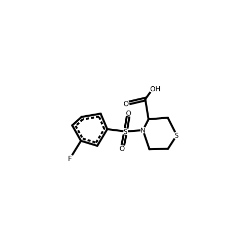 O=C(O)C1CSCCN1S(=O)(=O)c1cccc(F)c1